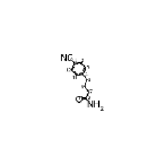 N#Cc1ccc(CCCC(N)=O)cc1